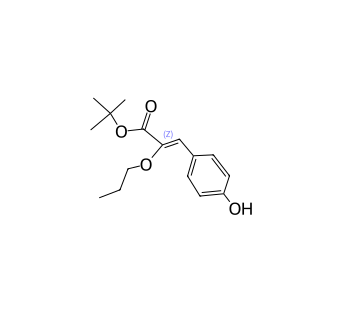 CCCO/C(=C\c1ccc(O)cc1)C(=O)OC(C)(C)C